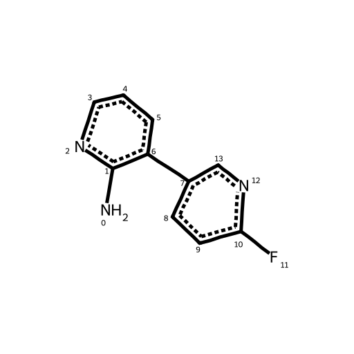 Nc1ncccc1-c1ccc(F)nc1